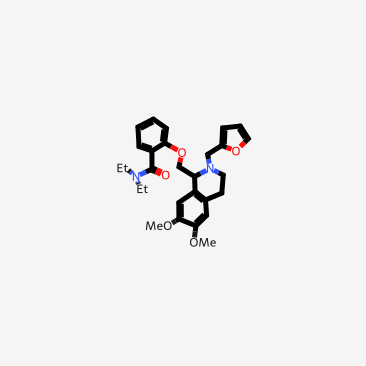 CCN(CC)C(=O)c1ccccc1OCC1c2cc(OC)c(OC)cc2CCN1Cc1ccco1